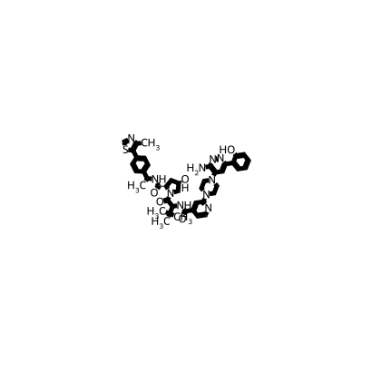 Cc1ncsc1-c1ccc(C(C)NC(=O)[C@@H]2C[C@@H](O)CN2C(=O)C(NC(=O)c2ccnc(N3CCN(c4cc(-c5ccccc5O)nnc4N)CC3)c2)C(C)(C)C)cc1